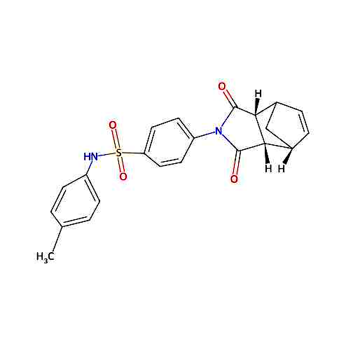 Cc1ccc(NS(=O)(=O)c2ccc(N3C(=O)[C@@H]4[C@H](C3=O)C3C=C[C@H]4C3)cc2)cc1